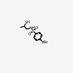 CC(S)CNS(=O)(=O)c1ccc(C(C)(C)C)cc1